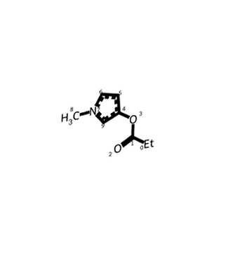 CCC(=O)Oc1ccn(C)c1